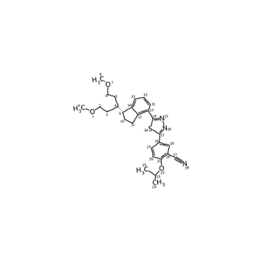 COCCC(CCOC)[C@H]1CCc2c(-c3nnc(-c4ccc(OC(C)C)c(C#N)c4)s3)cccc21